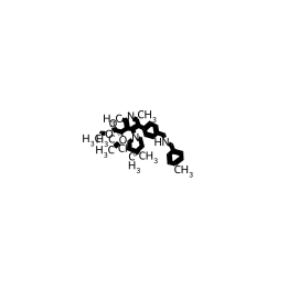 CCOC(=O)[C@@H](OC(C)(C)C)c1c(C)nc(C)c(-c2ccc(CNCc3ccc(C)cc3)cc2)c1N1CCC(C)(C)CC1